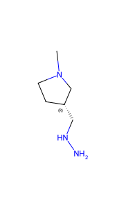 CN1CC[C@@H](CNN)C1